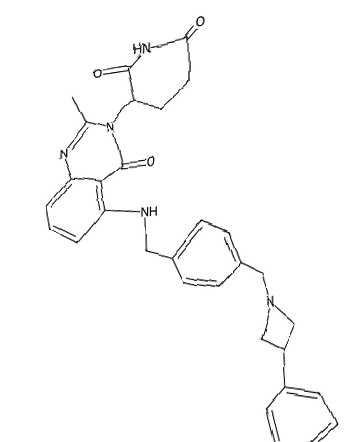 Cc1nc2cccc(NCc3ccc(CN4CC(c5ccncc5)C4)cc3)c2c(=O)n1C1CCC(=O)NC1=O